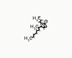 CCCCCCC(C)C1COC(=O)N1CCC